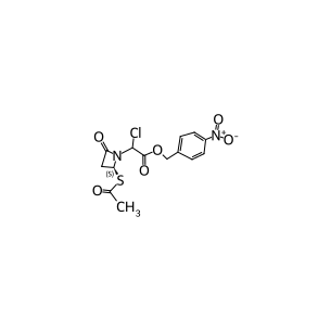 CC(=O)S[C@H]1CC(=O)N1C(Cl)C(=O)OCc1ccc([N+](=O)[O-])cc1